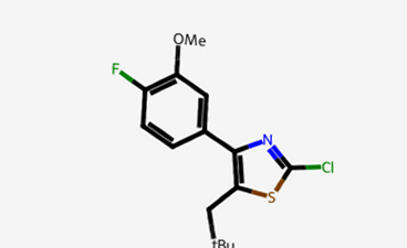 COc1cc(-c2nc(Cl)sc2CC(C)(C)C)ccc1F